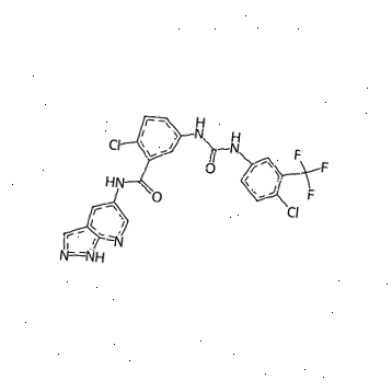 O=C(Nc1ccc(Cl)c(C(=O)Nc2cnc3[nH]ncc3c2)c1)Nc1ccc(Cl)c(C(F)(F)F)c1